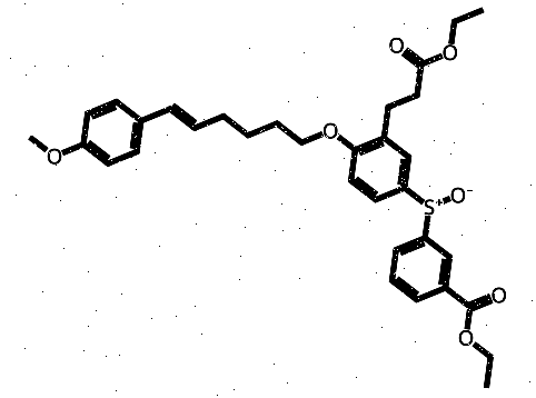 CCOC(=O)CCc1cc([S+]([O-])c2cccc(C(=O)OCC)c2)ccc1OCCCC/C=C/c1ccc(OC)cc1